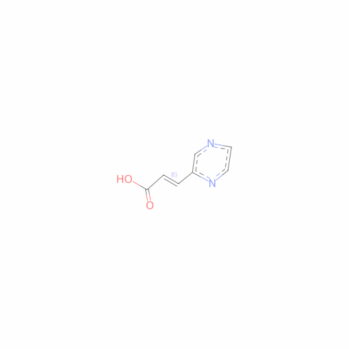 O=C(O)/C=C/c1cnccn1